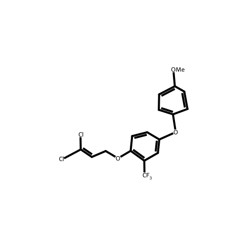 COc1ccc(Oc2ccc(OCC=C(Cl)Cl)c(C(F)(F)F)c2)cc1